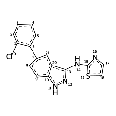 Clc1ccccc1-c1ccc2[nH]nc(Nc3nccs3)c2c1